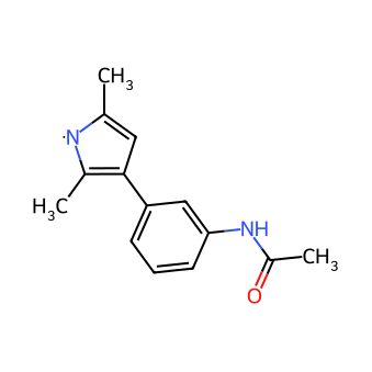 CC(=O)Nc1cccc(C2=C(C)[N]C(C)=C2)c1